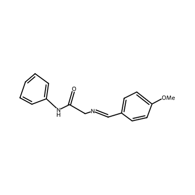 COc1ccc(C=NCC(=O)Nc2ccccc2)cc1